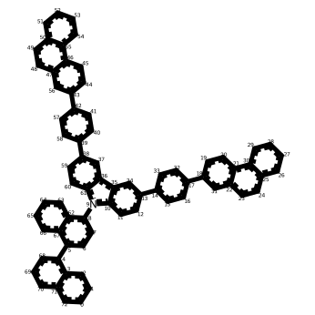 c1ccc2c(-c3ccc(-n4c5ccc(-c6ccc(-c7ccc8c(ccc9ccccc98)c7)cc6)cc5c5cc(-c6ccc(-c7ccc8c(ccc9ccccc98)c7)cc6)ccc54)c4ccccc34)cccc2c1